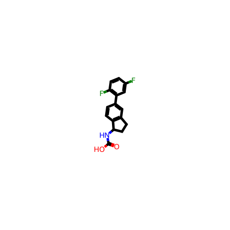 O=C(O)NC1CCc2cc(-c3cc(F)ccc3F)ccc21